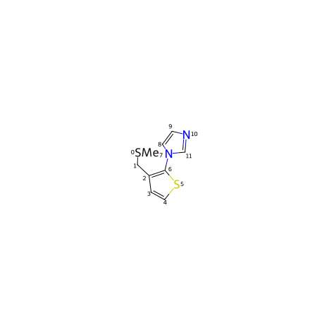 CSCc1ccsc1-n1ccnc1